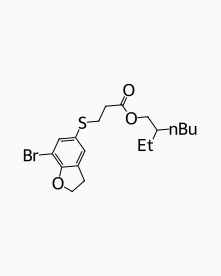 CCCCC(CC)COC(=O)CCSc1cc(Br)c2c(c1)CCO2